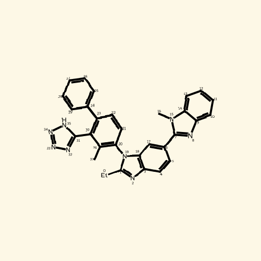 CCc1nc2ccc(-c3nc4ccccc4n3C)cc2n1-c1ccc(-c2ccccc2)c(-c2nnn[nH]2)c1C